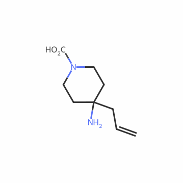 C=CCC1(N)CCN(C(=O)O)CC1